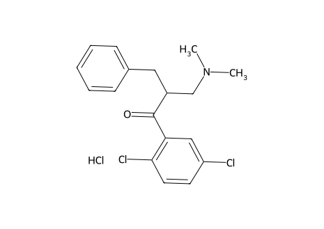 CN(C)CC(Cc1ccccc1)C(=O)c1cc(Cl)ccc1Cl.Cl